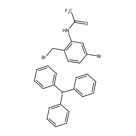 O=C(Nc1cc(Br)ccc1CBr)C(F)(F)F.c1ccc(P(c2ccccc2)c2ccccc2)cc1